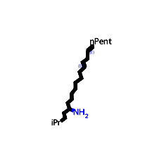 CCCCC/C=C/C/C=C/CCCCCCCC(N)CCC(C)C